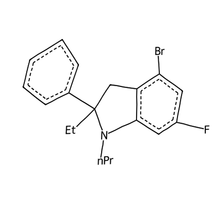 CCCN1c2cc(F)cc(Br)c2CC1(CC)c1ccccc1